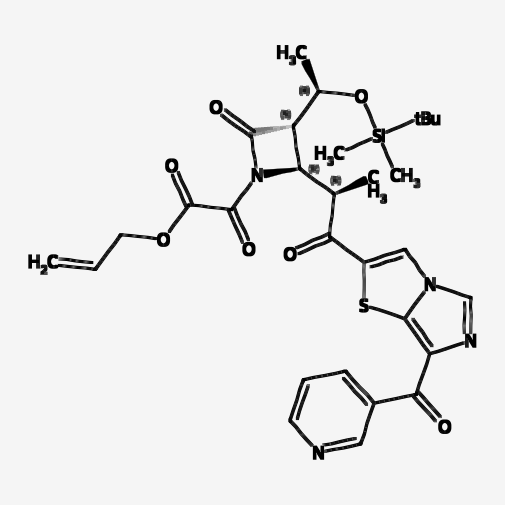 C=CCOC(=O)C(=O)N1C(=O)[C@H]([C@@H](C)O[Si](C)(C)C(C)(C)C)[C@H]1[C@@H](C)C(=O)c1cn2cnc(C(=O)c3cccnc3)c2s1